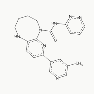 Cc1cncc(-c2ccc3c(n2)N(C(=O)Nc2cccnn2)CCCCN3)c1